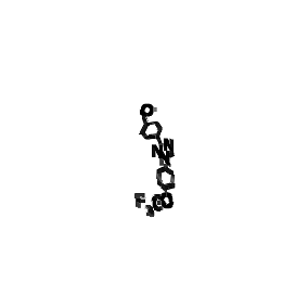 [O]Cc1ccc(-c2ncn(-c3ccc(OC(F)(F)F)cc3)n2)cc1